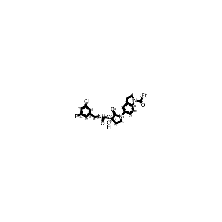 CCC(=O)N1CCc2cc(N3CC[C@@](O)(OC(=O)NCc4cc(F)cc(Cl)c4)C3=O)ccc21